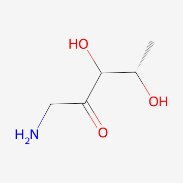 C[C@H](O)C(O)C(=O)CN